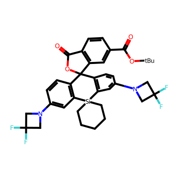 CC(C)(C)OC(=O)c1ccc2c(c1)C1(OC2=O)c2ccc(N3CC(F)(F)C3)cc2[Si]2(CCCCC2)c2cc(N3CC(F)(F)C3)ccc21